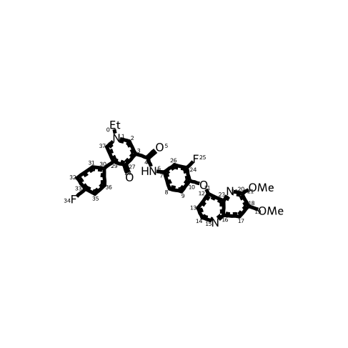 CCn1cc(C(=O)Nc2ccc(Oc3ccnc4cc(OC)c(OC)nc34)c(F)c2)c(=O)c(-c2ccc(F)cc2)c1